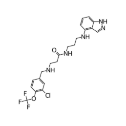 O=C(CCNCc1ccc(OC(F)(F)F)c(Cl)c1)NCCCNc1cccc2[nH]ncc12